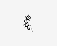 Nc1cnc(OC2CCOC2)nc1